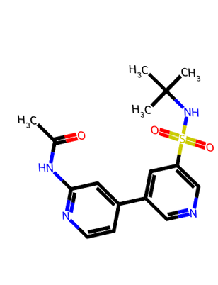 CC(=O)Nc1cc(-c2cncc(S(=O)(=O)NC(C)(C)C)c2)ccn1